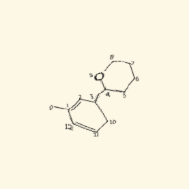 CC1=CC(C2CCCCO2)CC=C1